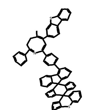 C/C1=C(c2ccc3c(c2)sc2ccccc23)/C=C(c2ccc(-c3cccc4c3-c3ccccc3C43c4ccccc4C4(c5ccccc5Sc5ccccc54)c4ccccc43)cc2)\N=C(\c2ccccc2)CC1